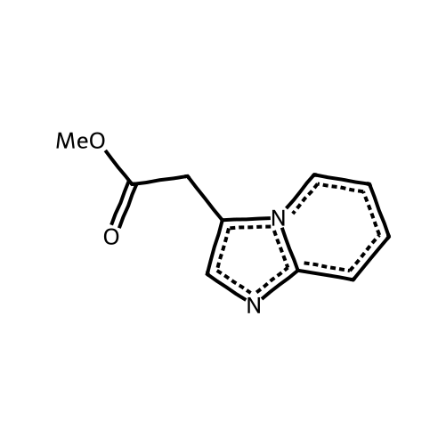 COC(=O)Cc1cnc2ccccn12